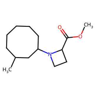 COC(=O)C1CCN1C1CCCCCC(C)C1